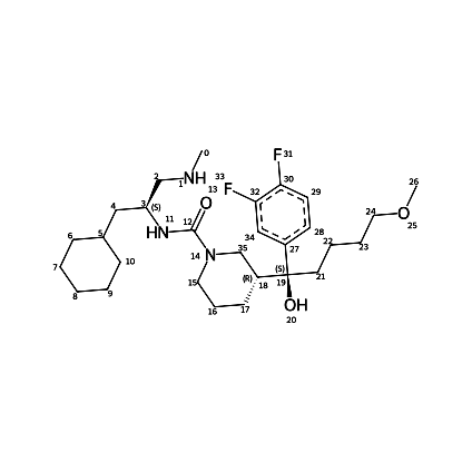 CNC[C@H](CC1CCCCC1)NC(=O)N1CCC[C@@H]([C@@](O)(CCCCOC)c2ccc(F)c(F)c2)C1